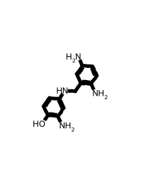 Nc1ccc(N)c(CNc2ccc(O)c(N)c2)c1